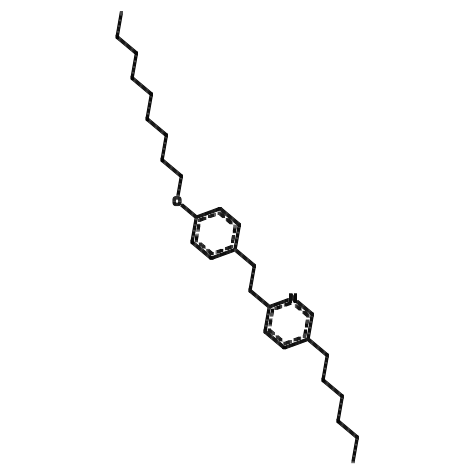 CCCCCCCCCOc1ccc(CCc2ccc(CCCCCC)cn2)cc1